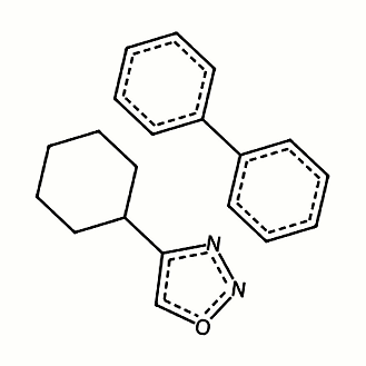 c1ccc(-c2ccccc2)cc1.c1onnc1C1CCCCC1